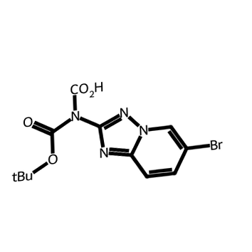 CC(C)(C)OC(=O)N(C(=O)O)c1nc2ccc(Br)cn2n1